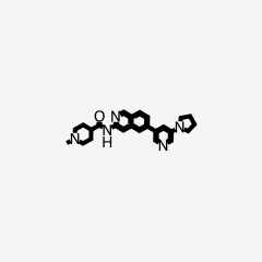 CN1CCC(C(=O)Nc2cc3cc(-c4cncc(N5CCCC5)c4)ccc3cn2)CC1